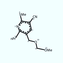 CCCc1nc(SC)c(C#N)cc1COCOC